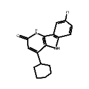 O=c1cc(C2CCCCC2)c2[nH]c3ccc(Cl)cc3c2[nH]1